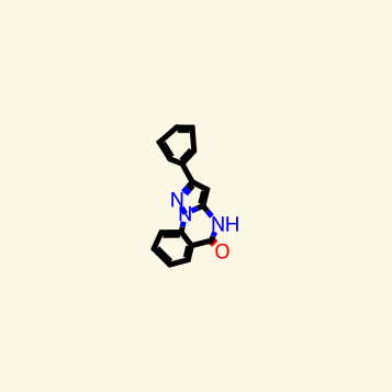 O=c1[nH]c2cc(-c3ccccc3)nn2c2ccccc12